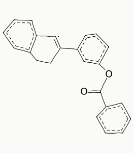 O=C(Oc1cccc(C2=[C]c3ccccc3CC2)c1)c1ccccc1